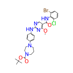 COc1nc(Nc2ccc(N3CCCN(C(=O)OC(C)(C)C)CC3)cc2)ncc1C(=O)Nc1c(Cl)cccc1Br